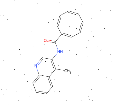 Cc1c(NC(=O)C2=C/C=C\C=C/C=C\2)cnc2ccccc12